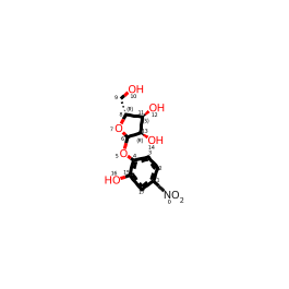 O=[N+]([O-])c1ccc(OC2O[C@H](CO)[C@@H](O)[C@H]2O)c(O)c1